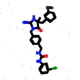 COc1cccc(CC2(C)NC(=N)N(Cc3ccc(CNC(=O)Nc4cccc(Br)c4)cc3)C2=O)c1